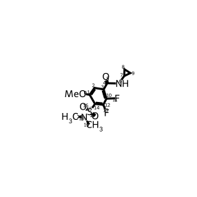 COc1cc(C(=O)NC2CC2)c(F)c(F)c1S(=O)(=O)N(C)C